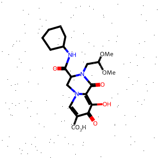 COC(CN1C(=O)c2c(O)c(=O)c(C(=O)O)cn2CC1C(=O)NC1CCCCC1)OC